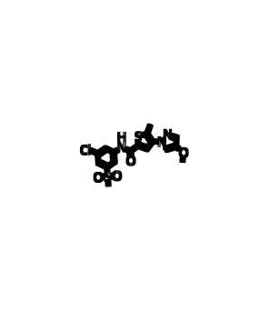 COc1cnn(-c2cc(C(=O)Nc3cc(Cl)cc(S(C)(=O)=O)c3)sc2C)c1